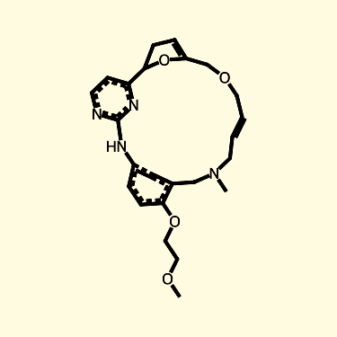 COCCOc1ccc2cc1CN(C)C/C=C/COCC1=CCC(O1)c1ccnc(n1)N2